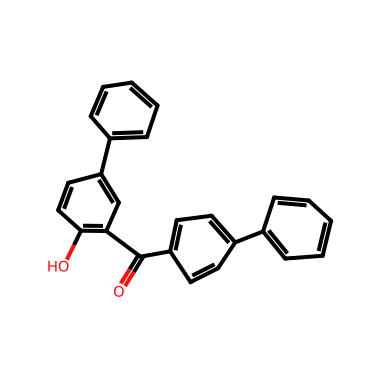 O=C(c1ccc(-c2ccccc2)cc1)c1cc(-c2ccccc2)ccc1O